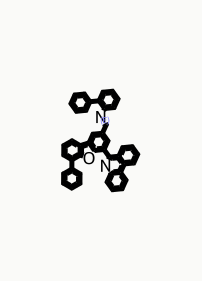 C(=N\c1ccccc1-c1ccccc1)/c1cc(-c2nc3ccccc3c3ccccc23)c2oc3c(-c4ccccc4)cccc3c2c1